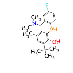 Cc1cc(Pc2ccc(F)cc2CN(C)C)c(O)c(C(C)(C)C)c1